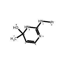 CC(C)NC1=NC=CC(C)(O)N1